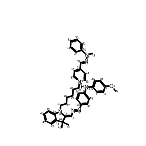 COc1ccc(Nc2ccc(N=NC=C3N(CCCCCC[n+]4ccc(C=NN(C)c5ccccc5)cc4)c4ccccc4C3(C)C)cc2)cc1